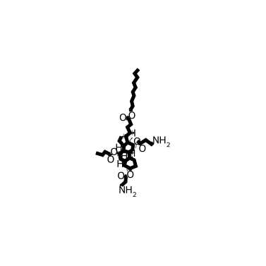 CCCCCCCCCCOC(=O)CC[C@@H](I)[C@H]1CC[C@H]2[C@@H]3[C@H](OC(=O)CCC)C[C@@H]4C[C@H](OC(=O)CCN)CC[C@]4(C)[C@H]3C[C@H](OC(=O)CCN)[C@]12C